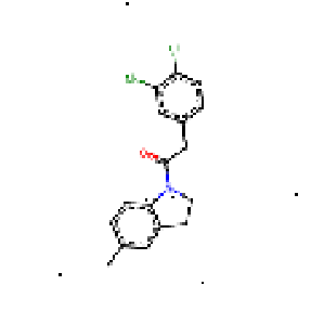 Cc1ccc2c(c1)CCN2C(=O)Cc1ccc(Cl)c(Cl)c1